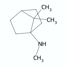 CNC12CCC(CC1)C2(C)C